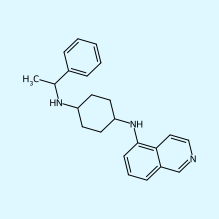 CC(NC1CCC(Nc2cccc3cnccc23)CC1)c1ccccc1